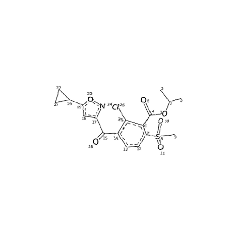 CC(C)OC(=O)c1c(S(C)(=O)=O)ccc(C(=O)c2cc(C3CC3)on2)c1Cl